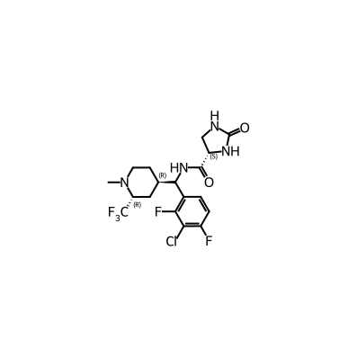 CN1CC[C@@H](C(NC(=O)[C@@H]2CNC(=O)N2)c2ccc(F)c(Cl)c2F)C[C@@H]1C(F)(F)F